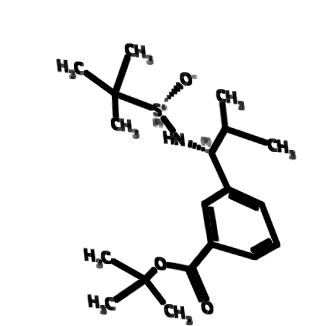 CC(C)[C@@H](N[S@@+]([O-])C(C)(C)C)c1cccc(C(=O)OC(C)(C)C)c1